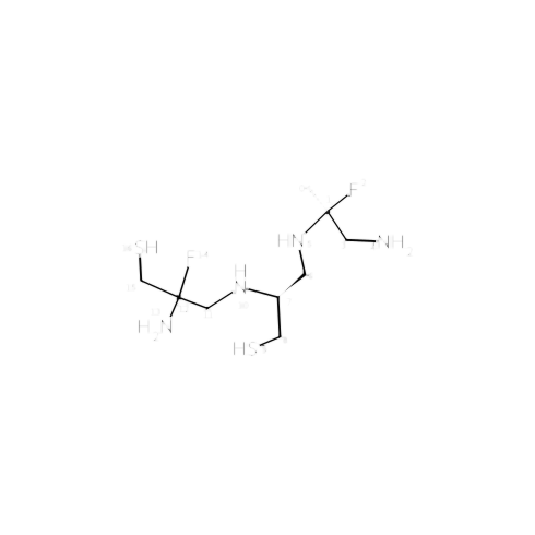 C[C@](F)(CN)NC[C@@H](CS)NCC(N)(F)CS